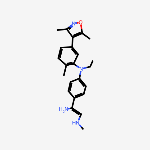 CCN(c1ccc(/C(N)=C/NC)cc1)c1cc(-c2c(C)noc2C)ccc1C